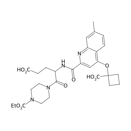 CCOC(=O)N1CCN(C(=O)C(CCC(=O)O)NC(=O)c2cc(OC3(C(=O)O)CCC3)c3ccc(C)cc3n2)CC1